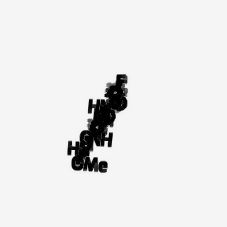 COCCNCC(=O)Nc1ccc2c(c1)COC(NC1COc3cc(F)ccc31)=N2